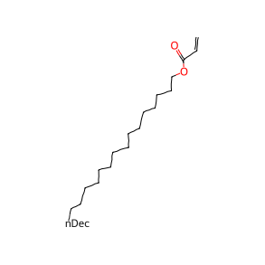 C=CC(=O)OCCCCCCCCCCCCCCCCCCCCCCCCC